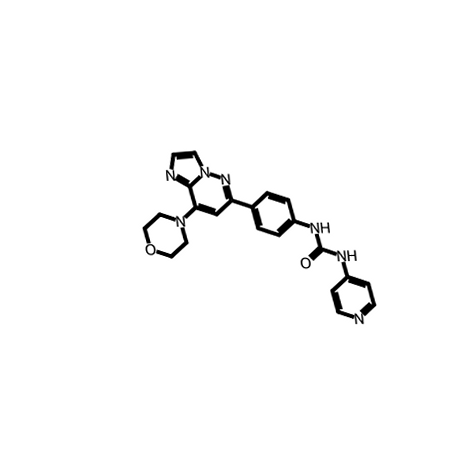 O=C(Nc1ccncc1)Nc1ccc(-c2cc(N3CCOCC3)c3nccn3n2)cc1